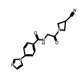 N#CC1CN(C(=O)CNC(=O)c2ccc(-n3ccnc3)cc2)C1